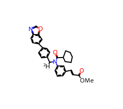 [2H]C(c1ccc(-c2ccc3ncoc3c2)cc1)N(C(=O)C1CCCCC1)c1cccc(/C=C/C(=O)OC)c1